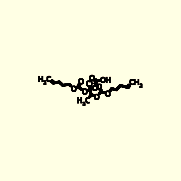 C=CCCCOC(=O)OC(C)C(C)(OC(=O)O)OC(=O)OCCCC=C